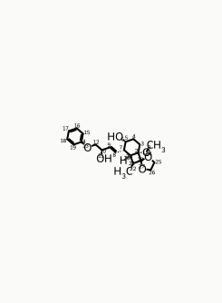 CO[C@@]12CC[C@H](O)[C@@H](/C=C/[C@@H](O)COc3ccccc3)[C@@H]1C(C)C21OCCO1